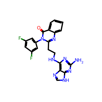 Nc1nc(NCCc2nc3ccccc3c(=O)n2-c2cc(F)cc(F)c2)c2nc[nH]c2n1